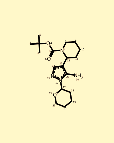 CC(C)(C)OC(=O)N1CCCCC1c1cnn(C2CCCCO2)c1N